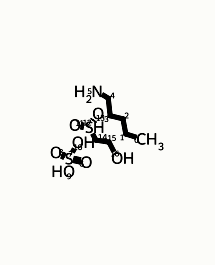 CCCCCN.O=S(=O)(O)O.O=[SH](=O)CCO